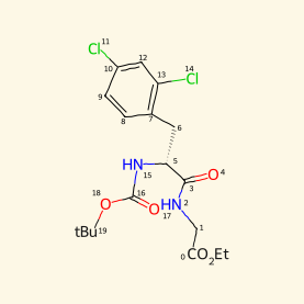 CCOC(=O)CNC(=O)[C@@H](Cc1ccc(Cl)cc1Cl)NC(=O)OC(C)(C)C